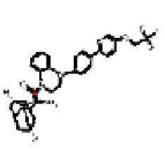 NC(=O)C12CC3C[C@H](C1)C(NC(=O)N1CCN(c4ccc(-c5ccc(OCC(F)(F)F)cn5)cc4)c4ccccc41)[C@@H](C3)C2